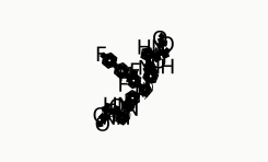 COC(=O)N[C@H](C(=O)N1CCCC1c1nc2cc([C@H]3CC[C@H](c4ccc5[nH]c([C@@H]6CCCN6C(=O)[C@@H](NC(=O)OC)C(C)C)nc5c4)N3c3cc(F)c(N4CCC(c5ccc(F)cc5)CC4)c(F)c3)ccc2[nH]1)C(C)C